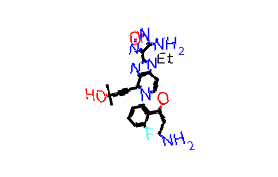 CCn1c(-c2nonc2N)nc2c(C#CC(C)(C)O)nc(OC(CCN)c3ccccc3F)cc21